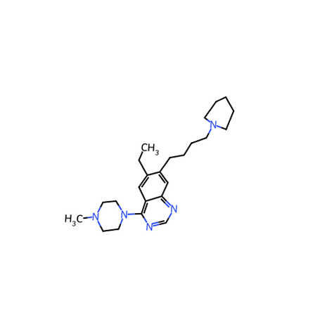 CCc1cc2c(N3CCN(C)CC3)ncnc2cc1CCCCN1CCCCC1